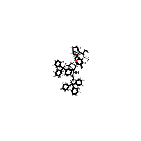 CCC(=NOC)C1C(c2ccc(F)cc2)CC2CCC1N2CCCN(CCSC(c1ccccc1)(c1ccccc1)c1ccccc1)CC(=O)NCCSC(c1ccccc1)(c1ccccc1)c1ccccc1